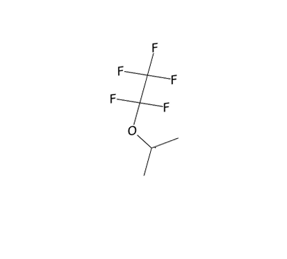 C[C](C)OC(F)(F)C(F)(F)F